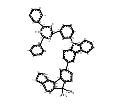 CC1(C)c2ccc(-c3ccc4c(c3)c3ccccc3n4-c3cccc(-c4nc(-c5ccccc5)nc(-c5ccccc5)n4)c3)cc2-c2c1ccc1ncsc21